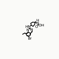 CCc1cc(Br)cc2cnc(NC3CCC(C)(NC(=O)O)CC3)nc12